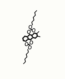 CCCCCCCOC(=O)Oc1c2ccccc2c(OC(=O)OCCCCCCC)c2cc(C)c(C)cc12